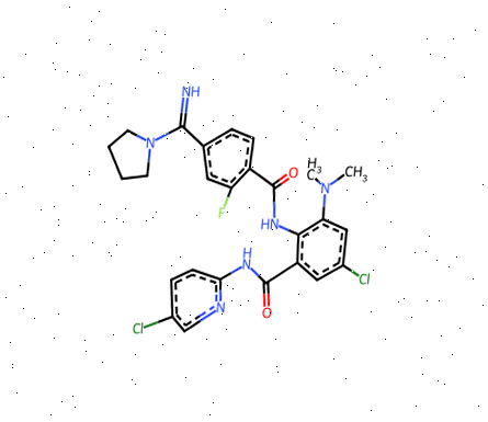 CN(C)c1cc(Cl)cc(C(=O)Nc2ccc(Cl)cn2)c1NC(=O)c1ccc(C(=N)N2CCCC2)cc1F